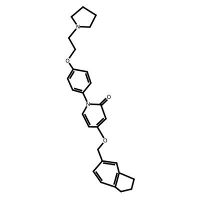 O=c1cc(OCc2ccc3c(c2)CCC3)ccn1-c1ccc(OCCN2CCCC2)cc1